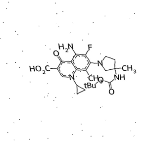 Cc1c(N2CCC(C)(NC(=O)OC(C)(C)C)C2)c(F)c(N)c2c(=O)c(C(=O)O)cn(C3CC3)c12